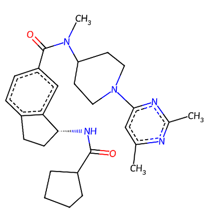 Cc1cc(N2CCC(N(C)C(=O)c3ccc4c(c3)[C@H](NC(=O)C3CCCC3)CC4)CC2)nc(C)n1